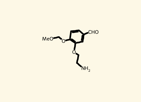 COCOc1ccc(C=O)cc1OCCN